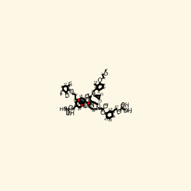 COCCOc1cccc(CN(C(=O)C2=C(c3ccc(CCCOc4c(F)ccc(F)c4Cl)cc3)CC3CN(C(=O)Oc4cccc(CON(O)O)c4)CC2N3C(=O)Oc2cccc(CON(O)O)c2)C2CC2)c1C